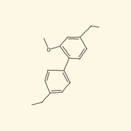 CCc1ccc(-c2ccc(CC)cc2OC)cc1